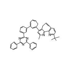 Cc1cc(C2=CC(c3cccc(-c4nc(-c5ccccc5)nc(-c5ccccc5)n4)c3)=CC=CC2)c2c(n1)-c1nc(C(C)(C)C)ccc1C=CC2